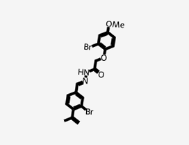 C=C(C)c1ccc(/C=N/NC(=O)COc2ccc(OC)cc2Br)cc1Br